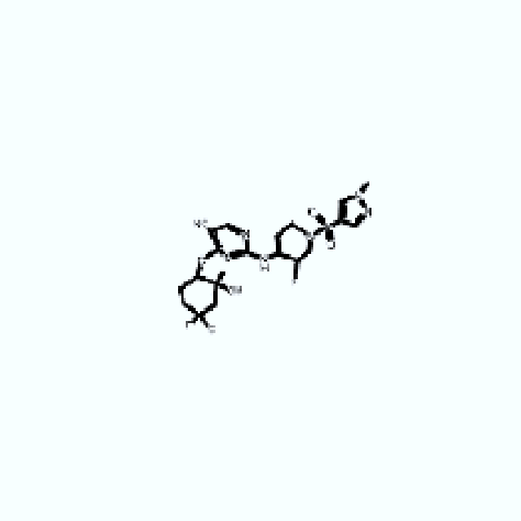 Cn1cc(S(=O)(=O)N2CCC(Nc3ncc(C#N)c(OC4CCC(F)(F)CC4(C)O)n3)C(F)C2)cn1